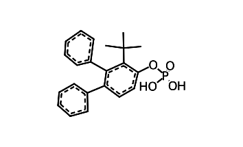 CC(C)(C)c1c(OP(=O)(O)O)ccc(-c2ccccc2)c1-c1ccccc1